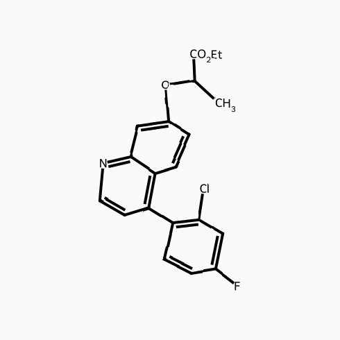 CCOC(=O)C(C)Oc1ccc2c(-c3ccc(F)cc3Cl)ccnc2c1